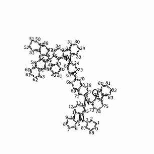 c1ccc(-n2c3ccccc3c3ccc(N(c4ccc5cc(-c6ccc(-n7c8ccccc8c8ccc9c(c87)-c7ccccc7C9(c7ccc8ccccc8c7)c7ccc8ccccc8c7)cc6)ccc5c4)c4cccc5c4oc4ccccc45)cc32)cc1